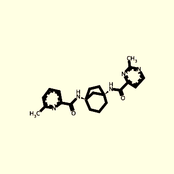 Cc1cccc(C(=O)N[C@]23CCC[C@](NC(=O)c4ccnc(C)n4)(CC2)C3)n1